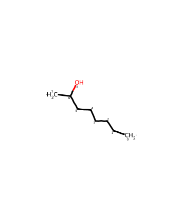 [CH2]CCCCCC([CH2])O